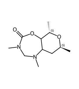 C[C@@H]1O[C@@H](C)CC2C1OC(=O)N(C)CN2C